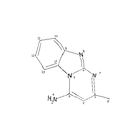 Cc1cc(N)n2c(n1)nc1ccccc12